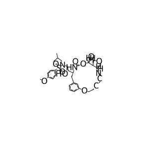 COc1ccc(S(=O)(=O)N(CC(C)C)C[C@@H](O)[C@@H]2Cc3cccc(c3)OCCCCCN[C@H]3CO[C@@H]4OC[C@H](OC(=O)N2)[C@@H]43)cc1